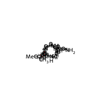 COc1ccc(-c2ccc(C[C@H]3CNCc4ccccc4CC(=O)N[C@H](C(=O)NCCOCCN)CCNC(=O)/C=C/C(=O)N4CCC[C@](Cc5ccccc5)(C4)C(=O)N3)cc2)c(C)c1